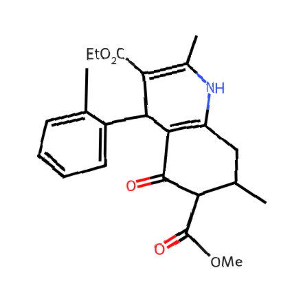 CCOC(=O)C1=C(C)NC2=C(C(=O)C(C(=O)OC)C(C)C2)C1c1ccccc1C